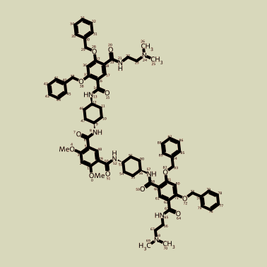 COc1cc(OC)c(C(=O)N[C@H]2CC[C@H](NC(=O)c3cc(C(=O)NCCN(C)C)c(OCc4ccccc4)cc3OCc3ccccc3)CC2)cc1C(=O)N[C@H]1CC[C@H](NC(=O)c2cc(C(=O)NCCN(C)C)c(OCc3ccccc3)cc2OCc2ccccc2)CC1